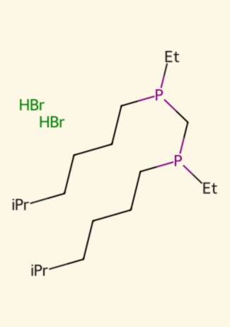 Br.Br.CCP(CCCCC(C)C)CP(CC)CCCCC(C)C